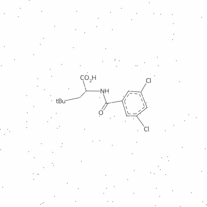 CC(C)(C)CC(NC(=O)c1cc(Cl)cc(Cl)c1)C(=O)O